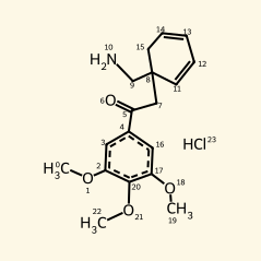 COc1cc(C(=O)CC2(CN)C=CC=CC2)cc(OC)c1OC.Cl